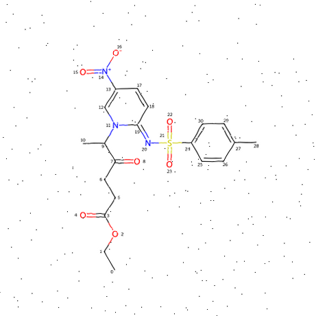 CCOC(=O)CCC(=O)C(C)n1cc([N+](=O)[O-])cc/c1=N\S(=O)(=O)c1ccc(C)cc1